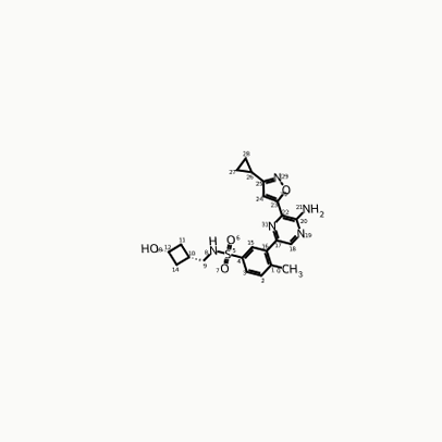 Cc1ccc(S(=O)(=O)NC[C@H]2C[C@@H](O)C2)cc1-c1cnc(N)c(-c2cc(C3CC3)no2)n1